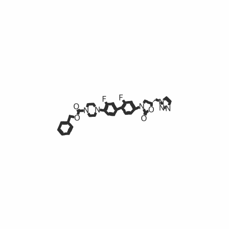 O=C(OCc1ccccc1)N1CCN(c2ccc(-c3ccc(N4C[C@H](Cn5ccnn5)OC4=O)cc3F)cc2F)CC1